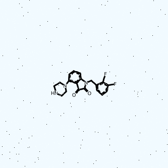 O=C1C(=O)N(Cc2cccc(F)c2F)c2cccc(N3CCNCC3)c21